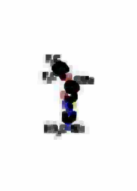 COc1cc(C=C2SC(N3CCC(N(C(=O)O)C(C)(C)C)CC3)=NC2=O)ccc1OCc1ccc(C(F)(F)F)cc1C(F)(F)F